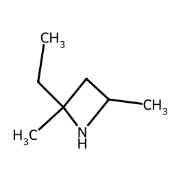 CCC1(C)CC(C)N1